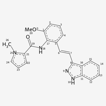 COc1cccc(/C=C/c2n[nH]c3ccccc23)c1NC(=O)c1cccn1C